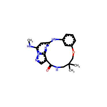 CNc1cc2nc3c(cnn13)C(=O)NCC(C)(C)COc1cccc(c1)N2